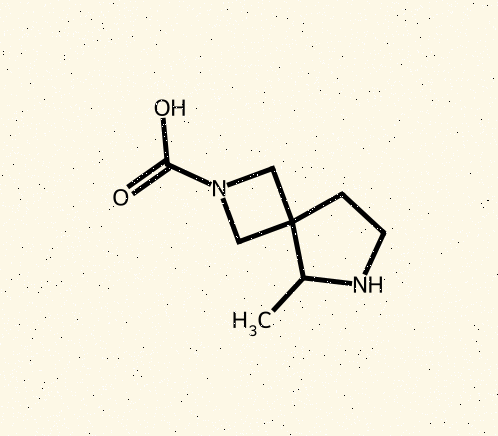 CC1NCCC12CN(C(=O)O)C2